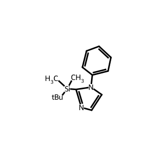 CC(C)(C)[Si](C)(C)c1nccn1-c1ccccc1